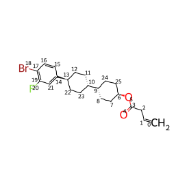 C=CCC(=O)O[C@H]1CC[C@H]([C@H]2CC[C@H](c3ccc(Br)c(F)c3)CC2)CC1